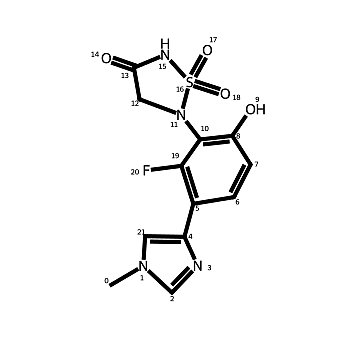 Cn1cnc(-c2ccc(O)c(N3CC(=O)NS3(=O)=O)c2F)c1